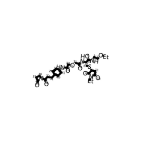 CCOCCNC(=O)[C@H](CSC1CC(=O)N(CC)C1=O)NC(=O)COCC(=O)Nc1ccc(CCC(=O)N2CCC2=O)cc1